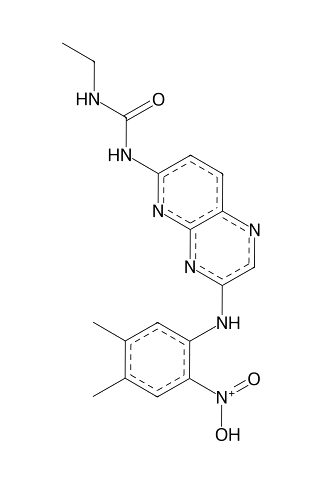 CCNC(=O)Nc1ccc2ncc(Nc3cc(C)c(C)cc3[N+](=O)O)nc2n1